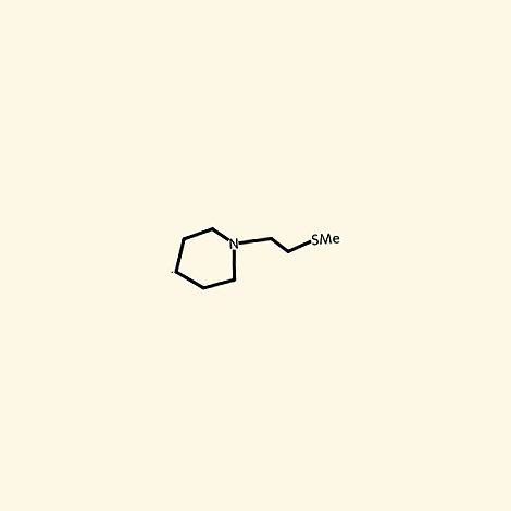 CSCCN1CC[CH]CC1